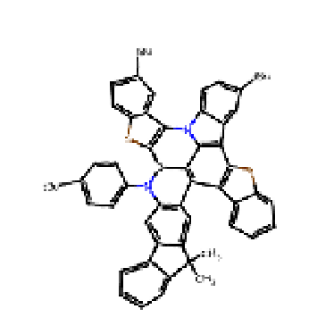 CC(C)(C)c1ccc(N2B3c4sc5ccc(C(C)(C)C)cc5c4-n4c5ccc(C(C)(C)C)cc5c5c6sc7ccccc7c6c(c3c54)-c3cc4c(cc32)-c2ccccc2C4(C)C)cc1